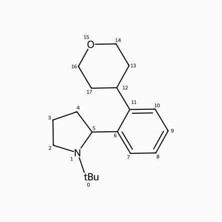 CC(C)(C)N1CCCC1c1ccccc1C1CCOCC1